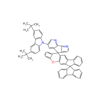 CC(C)(C)c1ccc2c(c1)c1cc(C(C)(C)C)ccc1n2-c1cnc2c(c1)C1(c3ccccc3Oc3cc4c(cc31)-c1ccccc1C41c3ccccc3-c3ccccc31)c1cccnc1-2